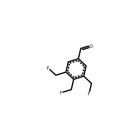 O=Cc1cc(CF)c(CF)c(CF)c1